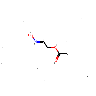 CC(=O)OCC=NO